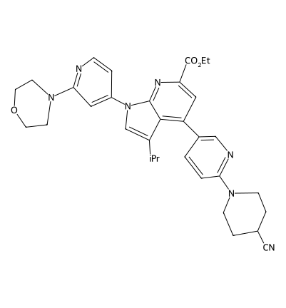 CCOC(=O)c1cc(-c2ccc(N3CCC(C#N)CC3)nc2)c2c(C(C)C)cn(-c3ccnc(N4CCOCC4)c3)c2n1